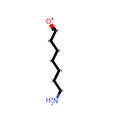 NCCCCCC[C]=O